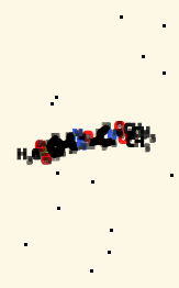 CC(C)(C)OC(=O)N1CCC(COc2ncc(-c3ccc(S(C)(=O)=O)cc3)cn2)CC1